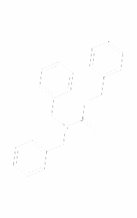 O=C(OCc1ccccc1)N(Cc1ccccc1)Cc1ccccc1